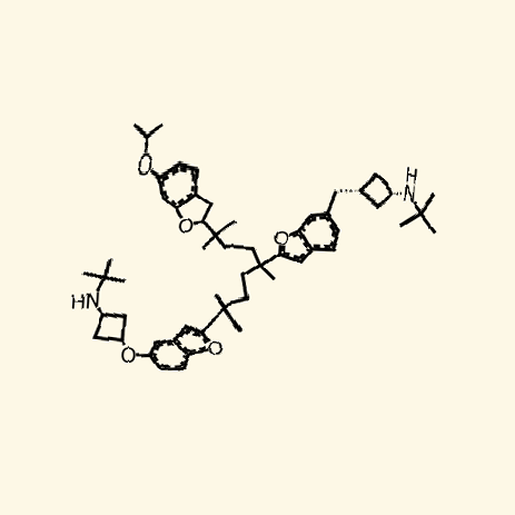 CC(C)Oc1ccc2c(c1)OC(C(C)(C)CCC(C)(CCC(C)(C)c1cc3cc(O[C@H]4C[C@H](NC(C)(C)C)C4)ccc3o1)c1cc3ccc(C[C@H]4C[C@@H](NC(C)(C)C)C4)cc3o1)C2